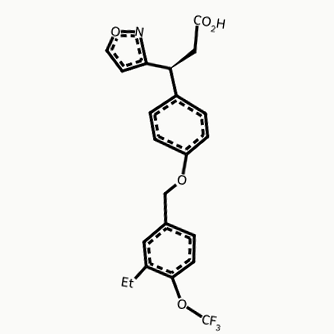 CCc1cc(COc2ccc([C@H](CC(=O)O)c3ccon3)cc2)ccc1OC(F)(F)F